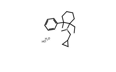 CCC1(N(C)CC2CC2)CCCCC1(C)c1ccccc1.Cl.O